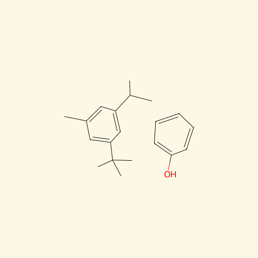 Cc1cc(C(C)C)cc(C(C)(C)C)c1.Oc1ccccc1